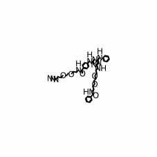 [N-]=[N+]=NCCOCCOCCNC(=O)c1ccc(Nc2nc(NCCOCCOCCNC(=O)c3ccccc3)nc(Nc3ccccc3)n2)cc1